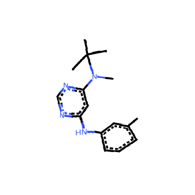 Cc1cccc(Nc2cc(N(C)C(C)(C)C)ncn2)c1